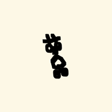 CC1(C)OB(C2=CCS(=O)(=O)CC2)OC1(C)C